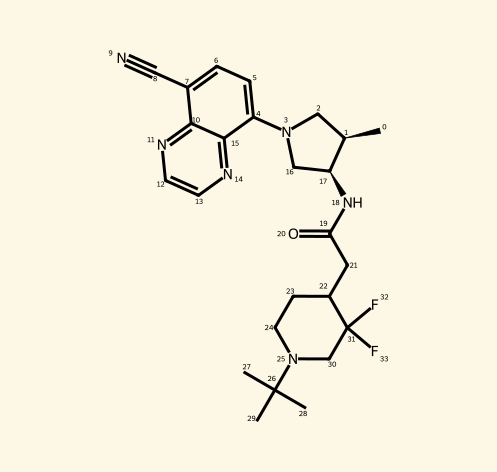 C[C@@H]1CN(c2ccc(C#N)c3nccnc23)C[C@@H]1NC(=O)CC1CCN(C(C)(C)C)CC1(F)F